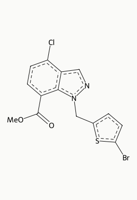 COC(=O)c1ccc(Cl)c2cnn(Cc3ccc(Br)s3)c12